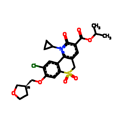 CC(C)OC(=O)c1cc2c(n(C3CC3)c1=O)-c1cc(Cl)c(OC[C@@H]3CCOC3)cc1S(=O)(=O)C2